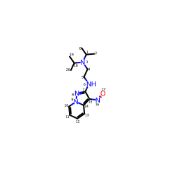 CC(C)N(CCNc1nn2ccccc2c1N=O)C(C)C